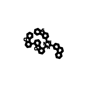 c1ccc2c(c1)ccc1ccc(-c3nc(-c4ccc5sc6ccccc6c5c4)nc(-c4cccc5oc6c(-c7cccc8oc9ccccc9c78)cccc6c45)n3)cc12